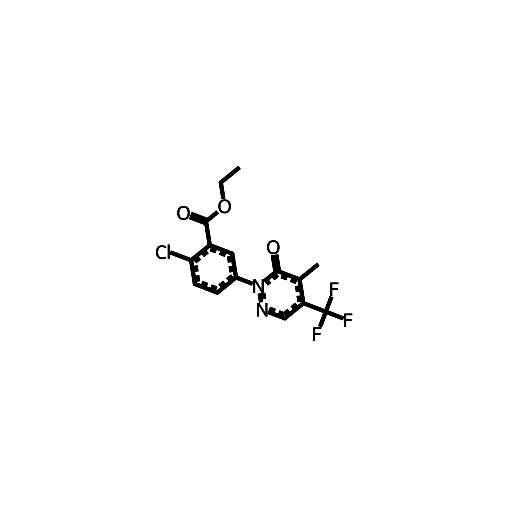 CCOC(=O)c1cc(-n2ncc(C(F)(F)F)c(C)c2=O)ccc1Cl